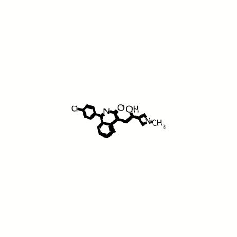 CN1CC(C(O)CC2C(=O)N=C(c3ccc(Cl)cc3)c3ccccc32)C1